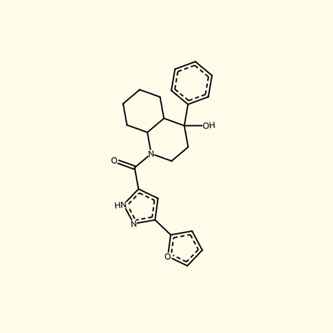 O=C(c1cc(-c2ccco2)n[nH]1)N1CCC(O)(c2ccccc2)C2CCCCC21